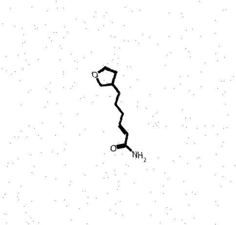 NC(=O)C=CCCCC1CCOC1